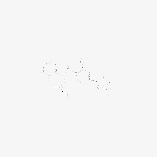 C[C@@H]1CN(C(=O)c2ccc(-c3nnn(C)n3)cc2Cl)c2ccccc2CN1